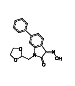 O=C1/C(=N\O)c2ccc(-c3ccccc3)cc2N1CC1OCCO1